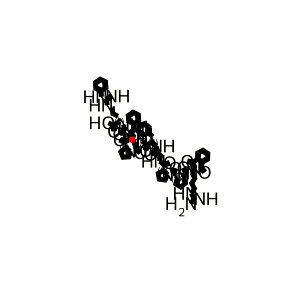 N=C(N)NCCCN(C(=O)N1CCC[C@H]1C(=O)N1CCC[C@H]1C(=O)NCC(=O)N[C@@H](Cc1ccccc1)C(=O)N[C@@H](CO)C(=O)N1CCC[C@H]1C(=O)NN(Cc1ccccc1)C(=O)N[C@@H](CCCNC(=N)Nc1ccccc1)C(=O)O)N1C(=O)c2ccccc2C1=O